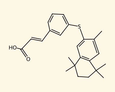 Cc1cc2c(cc1Sc1cccc(/C=C/C(=O)O)c1)C(C)(C)CCC2(C)C